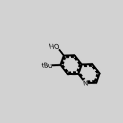 CC(C)(C)c1cc2ncccc2cc1O